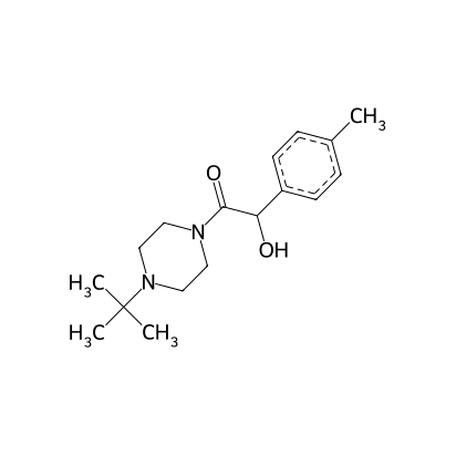 Cc1ccc(C(O)C(=O)N2CCN(C(C)(C)C)CC2)cc1